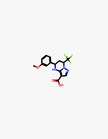 COc1cccc(C2CC(C(F)(F)F)n3ncc(C(=O)O)c3N2)c1